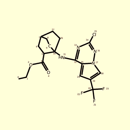 CCOC(=O)C1CC2CCC1(Nc1nc(Cl)nn3cc(C(F)(F)F)cc13)CC2